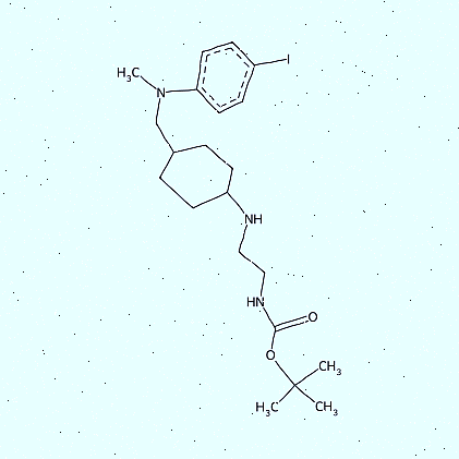 CN(CC1CCC(NCCNC(=O)OC(C)(C)C)CC1)c1ccc(I)cc1